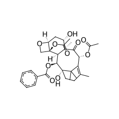 CC(=O)O[C@H]1C(=O)[C@]2(C)[C@@H](O)C[C@@H]3OC[C@@]3(OC(C)=O)[C@@H]2[C@H](OC(=O)c2ccccc2)[C@]2(O)CCC(C)=C1C2(C)C